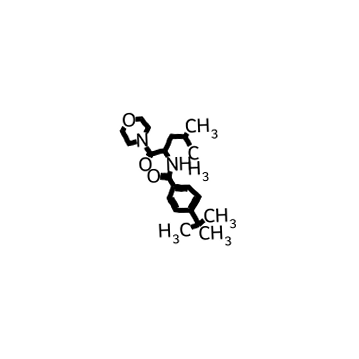 CC(C)CC(NC(=O)c1ccc(C(C)(C)C)cc1)C(=O)N1CCOCC1